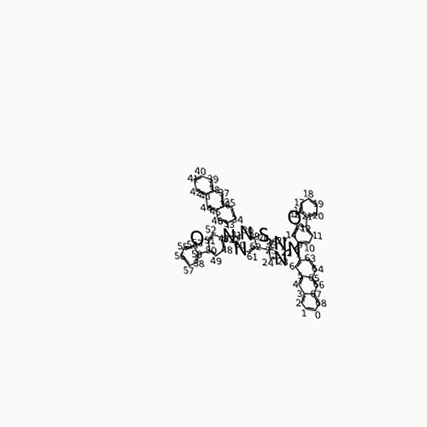 c1ccc2cc3cc(N(c4ccc5c(c4)oc4ccccc45)c4ncc5c(n4)sc4nc(N(c6ccc7cc8ccccc8cc7c6)c6ccc7c(c6)oc6ccccc67)ncc45)ccc3cc2c1